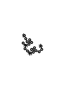 Cc1ccc(-c2ccc(-c3cccc(C4(c5cccc(-c6cc(-c7ccccc7)nc(-c7cccc(-c8ccc(-c9nc(C)nc(-c%10cccc(C%11(c%12ccc(-c%13cccc(-c%14cccc(-c%15ccc(C)nc%15C)c%14)c%13)cc%12)c%12ccccc%12-c%12ccccc%12%11)c%10)n9)cc8)c7)n6)c5)c5ccccc5-c5ccccc54)c3)cc2)c(C)n1